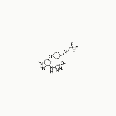 COc1cc(Nc2cc(OC3CCC(C=NCCC(F)(F)F)CC3)cc3c2ncn3C)nn1C